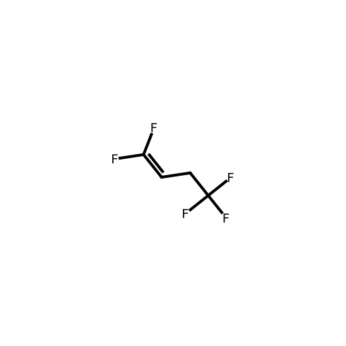 FC(F)=CCC(F)(F)F